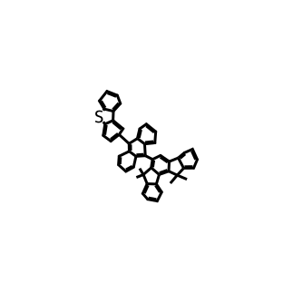 CC1(C)c2ccccc2-c2cc(-c3c4ccccc4c(-c4ccc5sc6ccccc6c5c4)c4ccccc34)c3c(c21)-c1ccccc1C3(C)C